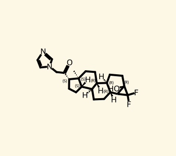 C[C@]12CC[C@@H]3[C@H]4CC[C@@]5(O)C([C@@H]4CC[C@H]3[C@@H]1CC[C@@H]2C(=O)Cn1ccnc1)C5(F)F